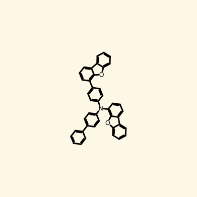 c1ccc(-c2ccc(N(c3ccc(-c4cccc5c4oc4ccccc45)cc3)c3cccc4c3oc3ccccc34)cc2)cc1